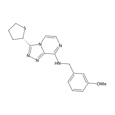 COc1cccc(CNc2nccn3c([C@@H]4CCCS4)nnc23)c1